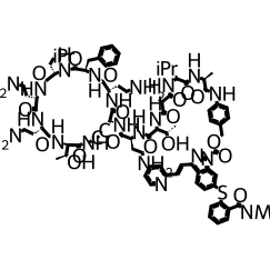 CNC(=O)c1ccccc1Sc1ccc2c(/C=C/c3ccccn3)nn(C(=O)OCc3ccc(NC(=O)[C@H](C)NC(=O)[C@@H](NC(=O)CC(=O)NC(C(=O)N[C@@H](CCN)C(=O)N[C@@H]4CCNC(=O)[C@@H]([C@H](C)O)NC(=O)[C@H](CCN)NC(=O)[C@H](CCN)NC(=O)[C@H](CC(C)C)NC(=O)[C@@H](Cc5ccccc5)NC(=O)[C@H](CCN)NC4=O)[C@H](C)O)C(C)C)cc3)c2c1